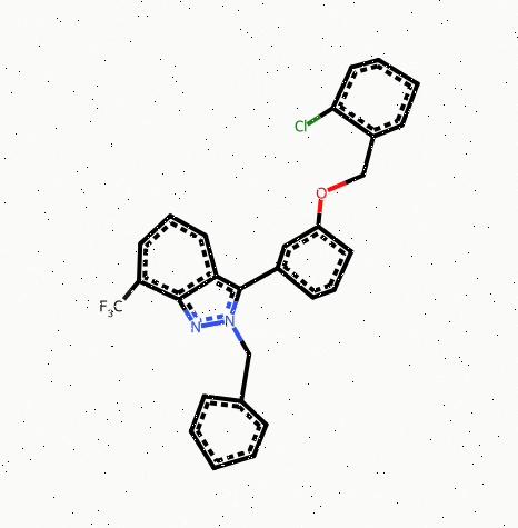 FC(F)(F)c1cccc2c(-c3cccc(OCc4ccccc4Cl)c3)n(Cc3ccccc3)nc12